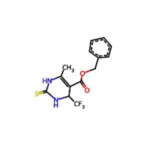 CC1=C(C(=O)OCc2ccccc2)C(C(F)(F)F)NC(=S)N1